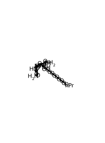 CCCOCCOCCOCCOCCOCCOCCOCCOCCOCCC(=O)NCC(=O)NC(CCCNC(N)=O)C(=O)NCC(=O)N(C)CC(=O)Nc1ccc(COC(N)=O)cc1